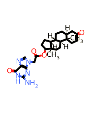 C[C@]12CCC(=O)C[C@@H]1CC[C@@H]1[C@@H]2CC[C@]2(C)C(OC(=O)Cn3cnc4c(=O)[nH]c(N)nc43)CC[C@@H]12